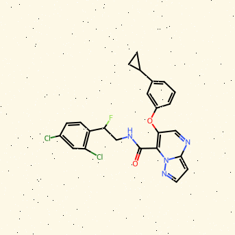 O=C(NCC(F)c1ccc(Cl)cc1Cl)c1c(Oc2cccc(C3CC3)c2)cnc2ccnn12